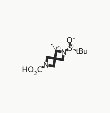 C[C@@H]1N([S@+]([O-])C(C)(C)C)CC12CN(C(=O)O)C2